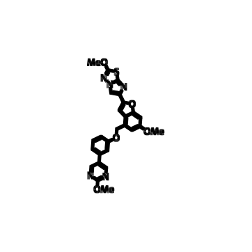 COc1cc(COc2cccc(-c3cnc(OC)nc3)c2)c2cc(-c3cn4nc(OC)sc4n3)oc2c1